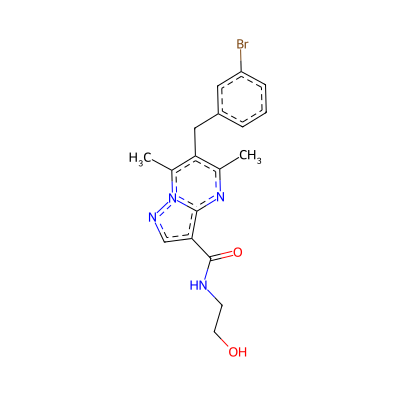 Cc1nc2c(C(=O)NCCO)cnn2c(C)c1Cc1cccc(Br)c1